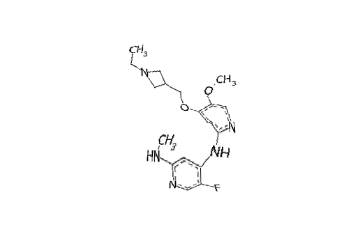 CCN1CC(COc2cc(Nc3cc(NC)ncc3F)ncc2OC)C1